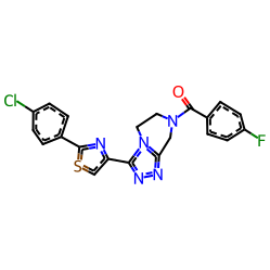 O=C(c1ccc(F)cc1)N1CCn2c(nnc2-c2csc(-c3ccc(Cl)cc3)n2)C1